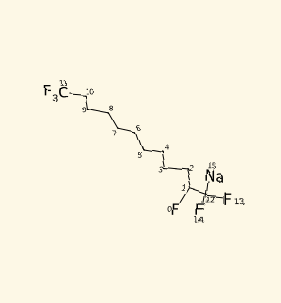 FC(CCCCCCCCCC(F)(F)F)[C](F)(F)[Na]